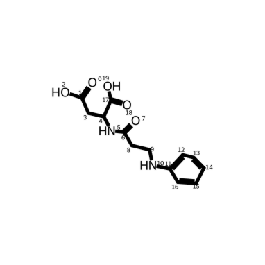 O=C(O)CC(NC(=O)CCNc1ccccc1)C(=O)O